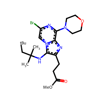 COC(=O)CCc1nc2c(N3CCOCC3)nc(Br)cn2c1NC(C)(C)CC(C)(C)C